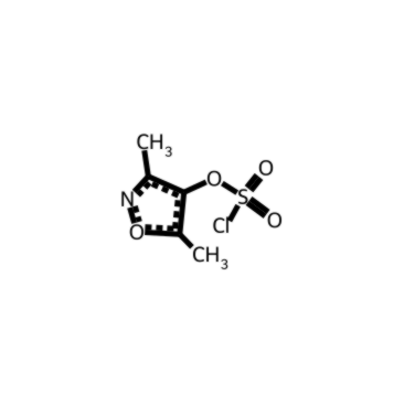 Cc1noc(C)c1OS(=O)(=O)Cl